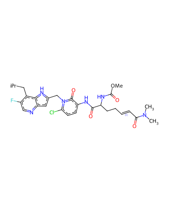 COC(=O)NC(CC/C=C/C(=O)N(C)C)C(=O)Nc1ccc(Cl)n(Cc2cc3ncc(F)c(CC(C)C)c3[nH]2)c1=O